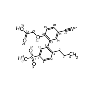 CCCc1ccc(S(C)(=O)=O)cc1-c1cc(C#N)ccc1OCC(=O)O